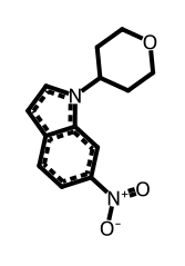 O=[N+]([O-])c1ccc2ccn(C3CCOCC3)c2c1